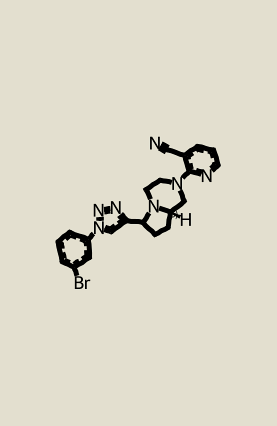 N#Cc1cccnc1N1CCN2C(c3cn(-c4cccc(Br)c4)nn3)CC[C@H]2C1